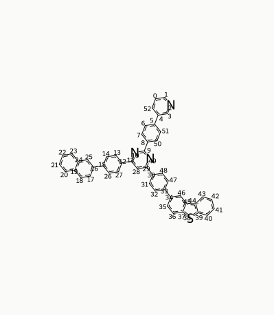 c1cncc(-c2ccc(-c3nc(-c4ccc(-c5ccc6ccccc6c5)cc4)cc(-c4ccc(-c5ccc6sc7ccccc7c6c5)cc4)n3)cc2)c1